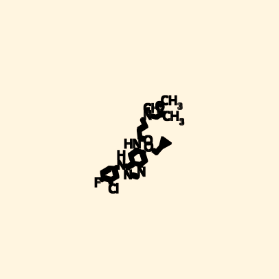 COC(C)CN(C)CC=CC(=O)Nc1cc2c(Nc3ccc(F)c(Cl)c3)ncnc2cc1OCC1CC1